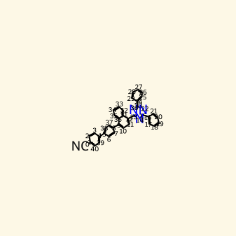 N#Cc1ccc(-c2ccc(-c3ccc(-c4nc(-c5ccccc5)nc(-c5ccccc5)n4)c4ccccc34)cc2)cc1